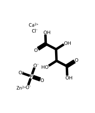 O=C(O)C(O)C(O)C(=O)O.O=P([O-])([O-])[O-].[Ca+2].[Cl-].[Zn+2]